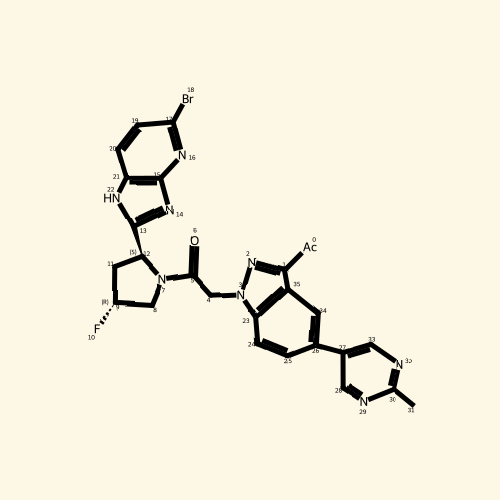 CC(=O)c1nn(CC(=O)N2C[C@H](F)C[C@H]2c2nc3nc(Br)ccc3[nH]2)c2ccc(-c3cnc(C)nc3)cc12